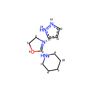 C1=NCCO1.C1CCNCC1.c1cn[nH]c1